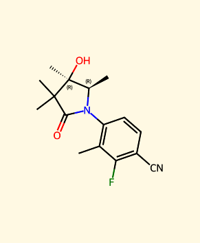 Cc1c(N2C(=O)C(C)(C)[C@@](C)(O)[C@H]2C)ccc(C#N)c1F